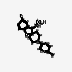 O=C(O)NC1c2cc(F)ccc2OC12CCN(c1cnc(Br)cn1)CC2